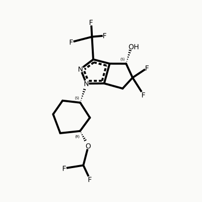 O[C@H]1c2c(C(F)(F)F)nn([C@H]3CCC[C@@H](OC(F)F)C3)c2CC1(F)F